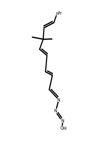 CCC/C=C/C(C)(C)/C=C/C=C/C=N/N=N/O